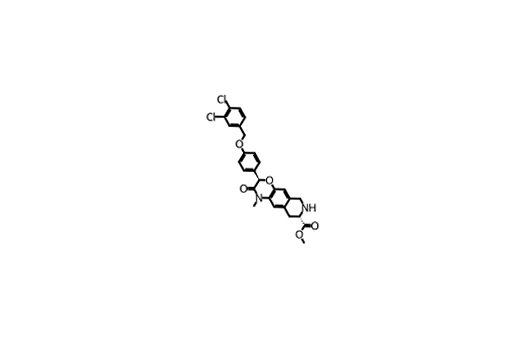 COC(=O)[C@@H]1Cc2cc3c(cc2CN1)O[C@H](c1ccc(OCc2ccc(Cl)c(Cl)c2)cc1)C(=O)N3C